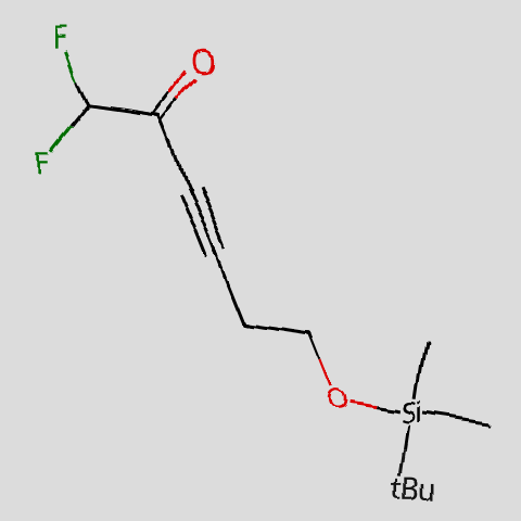 CC(C)(C)[Si](C)(C)OCCC#CC(=O)C(F)F